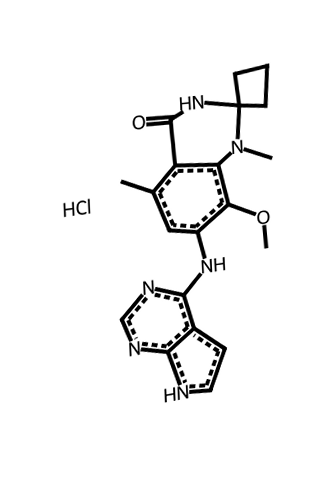 COc1c(Nc2ncnc3[nH]ccc23)cc(C)c2c1N(C)C1(CCC1)NC2=O.Cl